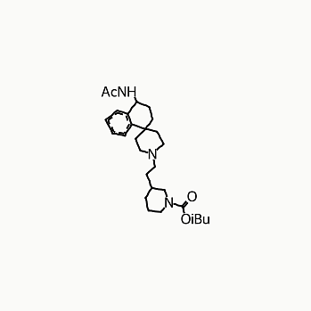 CC(=O)NC1CCC2(CCN(CCC3CCCN(C(=O)OCC(C)C)C3)CC2)c2ccccc21